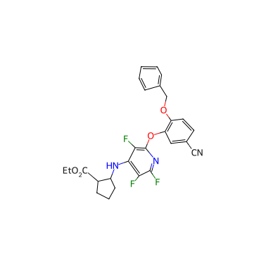 CCOC(=O)C1CCCC1Nc1c(F)c(F)nc(Oc2cc(C#N)ccc2OCc2ccccc2)c1F